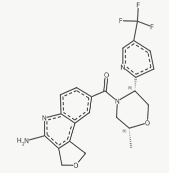 C[C@@H]1CN(C(=O)c2ccc3nc(N)c4c(c3c2)COC4)[C@H](c2ccc(C(F)(F)F)cn2)CO1